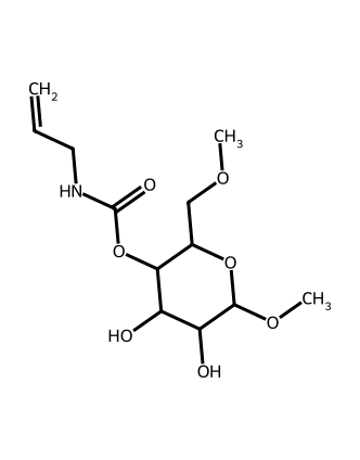 C=CCNC(=O)OC1C(COC)OC(OC)C(O)C1O